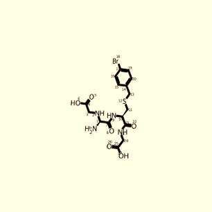 N[C@@H](NCC(=O)O)C(=O)N[C@@H](CSCc1ccc(Br)cc1)C(=O)NCC(=O)O